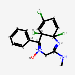 CNC1=NC2(Cl)C=CC(Cl)=CC2(Cl)C(c2ccccc2)=[N+]([O-])C1